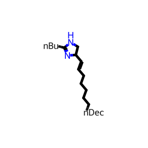 CCCCCCCCCCCCCCCC=CC1CNC(CCCC)=N1